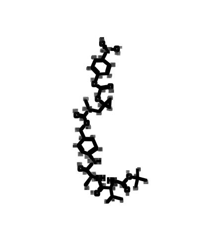 CC(C)[C@H](NC(=O)OC(C)(C)C)C(=O)N[C@@H](C)C(=O)Nc1ccc(COC(=O)N(C)CC2(OC(=O)Oc3ccc([N+](=O)[O-])cc3)CC2)cc1